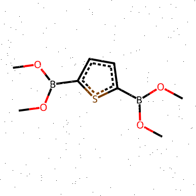 COB(OC)c1ccc(B(OC)OC)s1